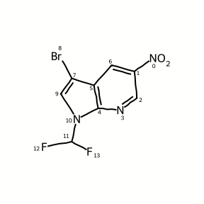 O=[N+]([O-])c1cnc2c(c1)c(Br)cn2C(F)F